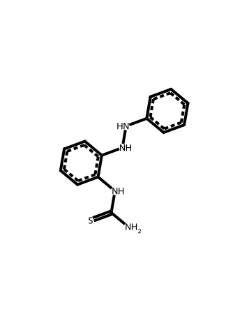 NC(=S)Nc1ccccc1NNc1ccccc1